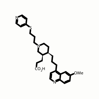 COc1ccc2nccc(CCC[C@@H]3CCN(CCCSc4ccncc4)C[C@@H]3CCC(=O)O)c2c1